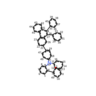 c1ccc(-c2ccccc2N(c2ccccc2)c2ccc(-c3ccc4c(c3)c(-c3ccccc3)c(-c3ccccc3)c3ccccc34)cc2)cc1